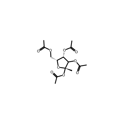 CC(=O)OC[C@H]1O[C@@](C)(OC(C)=O)C(OC(C)=O)[C@H]1OC(C)=O